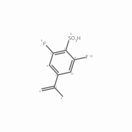 C=C(C)c1cc(F)c(S(=O)(=O)O)c(F)c1